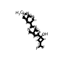 Cn1cc2cc(-c3ncc4cc(C5(O)CC(C(F)F)C5)sc4n3)cnc2n1